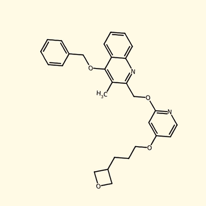 Cc1c(COc2cc(OCCCC3COC3)ccn2)nc2ccccc2c1OCc1ccccc1